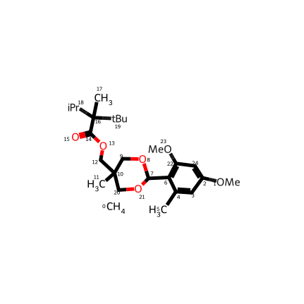 C.COc1cc(C)c(C2OCC(C)(COC(=O)C(C)(C(C)C)C(C)(C)C)CO2)c(OC)c1